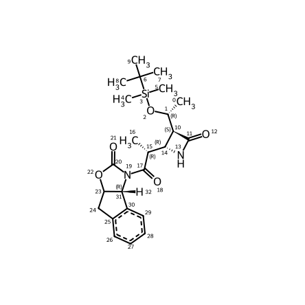 C[C@@H](O[Si](C)(C)C(C)(C)C)[C@H]1C(=O)N[C@@H]1[C@@H](C)C(=O)N1C(=O)OC2Cc3ccccc3[C@H]21